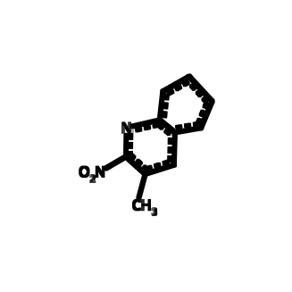 Cc1cc2ccccc2nc1[N+](=O)[O-]